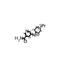 CC(C)N1CCC(Nc2cncc(C(N)=O)c2)CC1